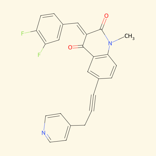 CN1C(=O)/C(=C/c2ccc(F)c(F)c2)C(=O)c2cc(C#CCc3ccncc3)ccc21